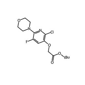 CC(C)(C)OC(=O)COc1cc(F)c(N2CCOCC2)nc1Cl